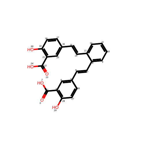 O=C(O)c1cc(C=Cc2ccccc2C=Cc2ccc(O)c(C(=O)O)c2)ccc1O